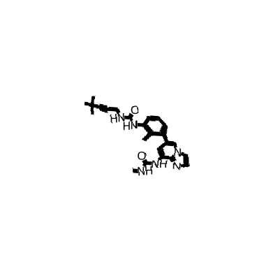 CNC(=O)Nc1cc(-c2cccc(NC(=O)NCC#CC(C)(C)C)c2C)cn2ccnc12